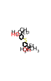 CCC(C)(C)c1cc(Sc2ccc(O)c(C(C)(C)CC)c2)ccc1O